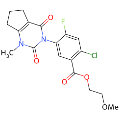 COCCOC(=O)c1cc(-n2c(=O)c3c(n(C)c2=O)CCC3)c(F)cc1Cl